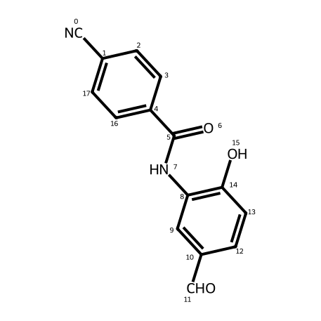 N#Cc1ccc(C(=O)Nc2cc(C=O)ccc2O)cc1